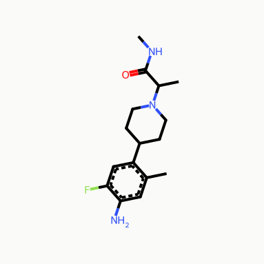 CNC(=O)C(C)N1CCC(c2cc(F)c(N)cc2C)CC1